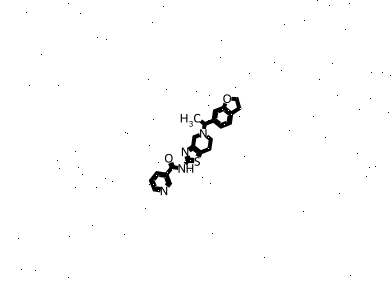 CC(c1ccc2c(c1)OCC2)N1CCc2sc(NC(=O)c3cccnc3)nc2C1